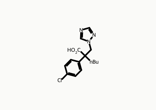 CCCCC(Cn1cncn1)(C(=O)O)c1ccc(Cl)cc1